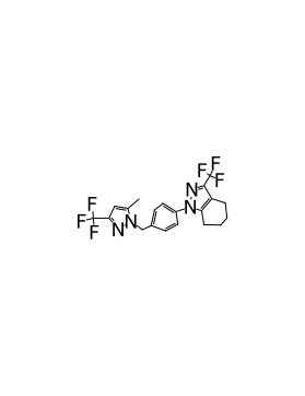 Cc1cc(C(F)(F)F)nn1Cc1ccc(-n2nc(C(F)(F)F)c3c2CCCC3)cc1